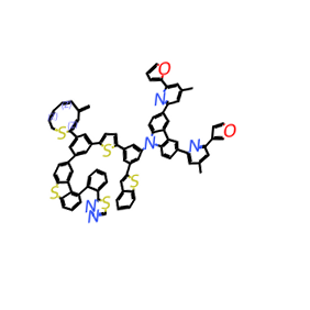 C=C1/C=C\C=C/CS/C(c2cc(-c3ccc4sc5cccc(-c6ccccc6-c6nncs6)c5c4c3)cc(-c3ccc(-c4cc(-c5cc6ccccc6s5)cc(-n5c6ccc(-c7cc(C)cc(-c8ccoc8)n7)cc6c6cc(-c7cc(C)cc(-c8ccco8)n7)ccc65)c4)s3)c2)=C\1